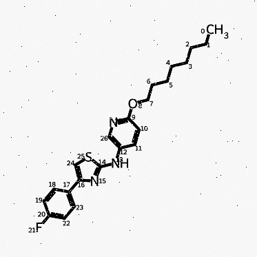 CCCCCCCCOc1ccc(Nc2nc(-c3ccc(F)cc3)cs2)cn1